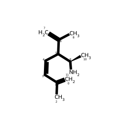 C=C(C)/C=C\C(C(=C)C)[C@@H](C)N